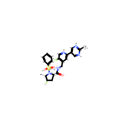 C[C@H]1[C@H](F)C[C@@H](C(=O)NCc2cc(-c3cnc(C(F)(F)F)nc3)ncc2F)N1S(=O)(=O)c1ccccc1